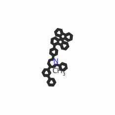 CC1=C(c2ccccc2)N=C(c2ccc(-c3cccc4c3-c3ccccc3C43c4ccccc4-c4ccccc43)cc2)CC=C1c1cccc(-c2ccccc2)c1